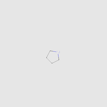 [CH2][C@H]1CCCN1